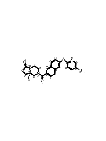 O=C(c1ccc2cc(Oc3ccc(C(F)(F)F)cn3)ccc2n1)N1CCN2C(=O)OC[C@H]2C1